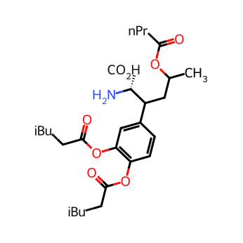 CCCC(=O)OC(C)CC(c1ccc(OC(=O)CC(C)CC)c(OC(=O)CC(C)CC)c1)[C@H](N)C(=O)O